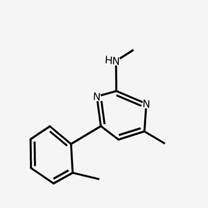 CNc1nc(C)cc(-c2ccccc2C)n1